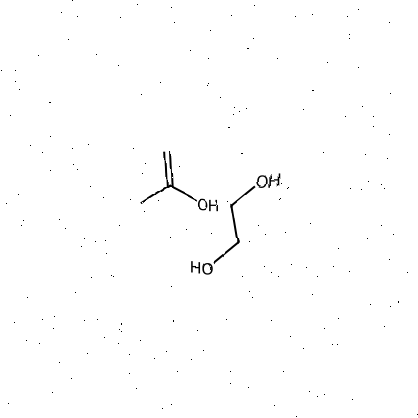 C=C(C)O.OCCO